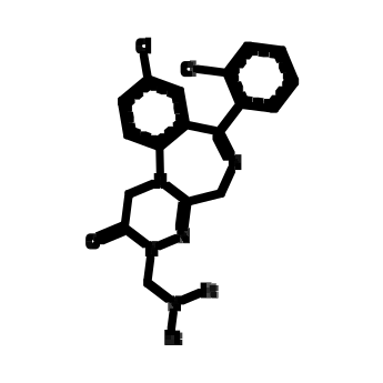 CCN(CC)CN1N=C2CN=C(c3ccccc3Cl)c3cc(Cl)ccc3N2CC1=O